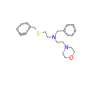 c1cccc(CSCCN(CCN2CCOCC2)Cc2ccccc2)c#1